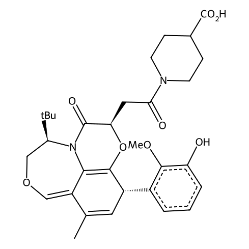 COc1c(O)cccc1[C@@H]1C=C(C)C2=COC[C@@H](C(C)(C)C)N3C(=O)[C@@H](CC(=O)N4CCC(C(=O)O)CC4)OC1=C23